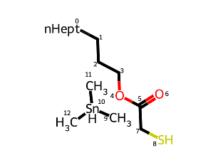 CCCCCCCCCCOC(=O)CS.[CH3][SnH]([CH3])[CH3]